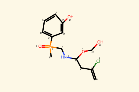 C=C(Cl)CC(NCP(C)(=O)c1cccc(O)c1)OCO